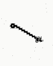 CCOC(=O)NCCCCCCCCCCCCCCCCc1ccccc1